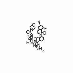 Nc1nc(Nc2cnn(CC(=O)N3CCOCC3)c2)nc(-c2cccc(-n3ccc4cc(C5CC5)cc(F)c4c3=O)c2CO)n1